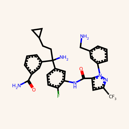 NCc1cccc(-n2nc(C(F)(F)F)cc2C(=O)Nc2cc(C(N)(CCC3CC3)c3cccc(C(N)=O)c3)ccc2F)c1